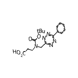 CC(C)(C)OC(=O)N(CCC(=O)O)Cc1nnc(-c2ccccc2)nn1